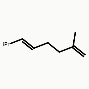 [CH2]C(C)C=CCCC(=C)C